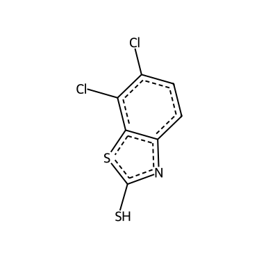 Sc1nc2ccc(Cl)c(Cl)c2s1